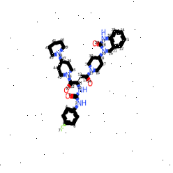 O=C(Nc1ccc(F)cc1)N[C@@H](CC(=O)N1CCC(N2Cc3ccccc3NC2=O)CC1)C(=O)N1CCC(N2CCCCC2)CC1